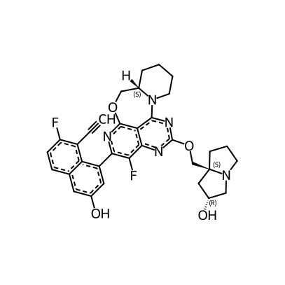 C#Cc1c(F)ccc2cc(O)cc(-c3nc4c5c(nc(OC[C@@]67CCCN6C[C@H](O)C7)nc5c3F)N3CCCC[C@H]3CO4)c12